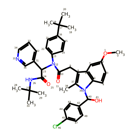 COc1ccc2c(c1)c(CC(=O)N(c1ccc(C(C)(C)C)cc1)C(C(=O)NC(C)(C)C)c1cccnc1)c(C)n2C(O)c1ccc(Cl)cc1